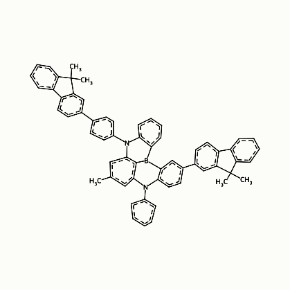 Cc1cc2c3c(c1)N(c1ccccc1)c1ccc(-c4ccc5c(c4)C(C)(C)c4ccccc4-5)cc1B3c1ccccc1N2c1ccc(-c2ccc3c(c2)C(C)(C)c2ccccc2-3)cc1